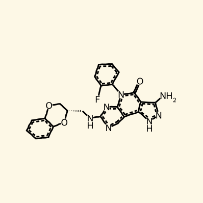 Nc1n[nH]c2c1c(=O)n(-c1ccccc1F)c1nc(NC[C@H]3COc4ccccc4O3)ncc21